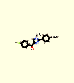 COc1ccc(-c2nc(C(=O)c3ccc(F)cc3)cn2C)cc1